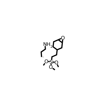 CO[Si](CCC1CCC2OC2C1)(OC)OC.[CH2]CCN